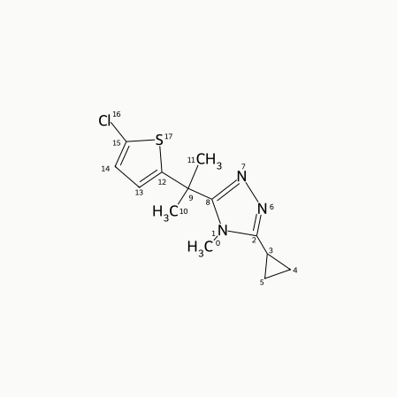 Cn1c(C2CC2)nnc1C(C)(C)c1ccc(Cl)s1